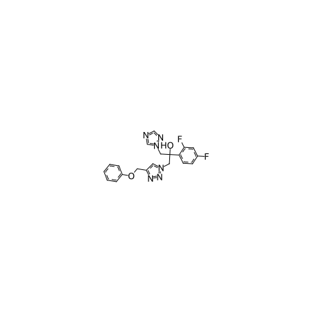 OC(Cn1cncn1)(Cn1cc(COc2ccccc2)nn1)c1ccc(F)cc1F